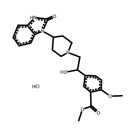 COC(=O)c1cc(C(O)CN2CCC(n3c(=O)[nH]c4ccccc43)CC2)ccc1OC.Cl